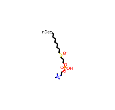 CCCCCCCCCCCCCCCCCC[S+]([O-])CCCOP(=O)(O)OCC[N+](C)(C)C